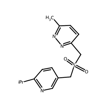 Cc1ccc(CS(=O)(=O)Cc2ccc(C(C)C)nc2)nn1